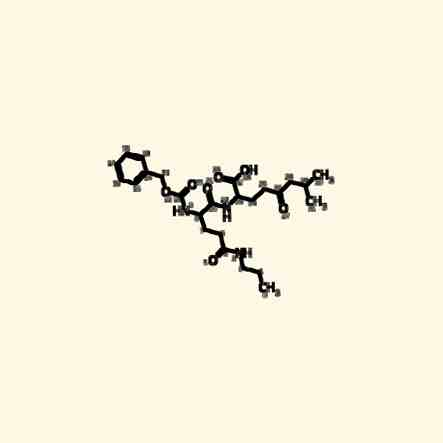 CCCNC(=O)CCC(NC(=O)OCc1ccccc1)C(=O)NC(CCC(=O)CC(C)C)C(=O)O